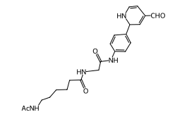 CC(=O)NCCCCCC(=O)NCC(=O)Nc1ccc(C2C=C(C=O)C=CN2)cc1